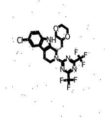 FC(F)(F)c1nc(N2CCc3c([nH]c4ccc(Cl)cc34)[C@@H]2CC2COCCO2)nc(C(F)(F)F)n1